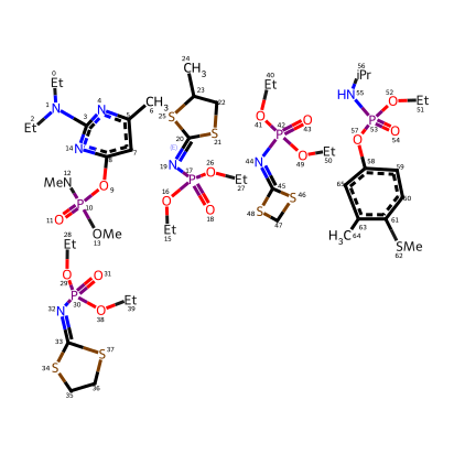 CCN(CC)c1nc(C)cc(OP(=O)(NC)OC)n1.CCOP(=O)(/N=C1\SCC(C)S1)OCC.CCOP(=O)(N=C1SCCS1)OCC.CCOP(=O)(N=C1SCS1)OCC.CCOP(=O)(NC(C)C)Oc1ccc(SC)c(C)c1